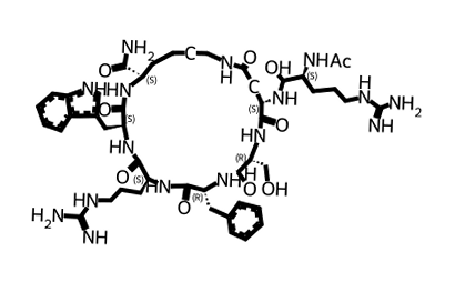 CC(=O)N[C@@H](CCCNC(=N)N)C(O)N[C@H]1CC(=O)NCCCC[C@@H](C(N)=O)NC(=O)[C@H](Cc2c[nH]c3ccccc23)NC(=O)[C@H](CCCNC(=N)N)NC(=O)[C@@H](Cc2ccccc2)NC(O)[C@@H](CO)NC1=O